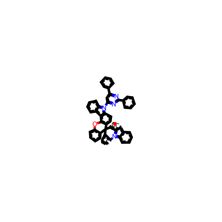 c1ccc(-c2cc(-n3c4ccccc4c4c5c(ccc43)C3(c4ccccc4O5)c4ccccc4-n4c5ccccc5c5cccc3c54)nc(-c3ccccc3)n2)cc1